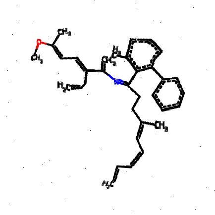 C=C/C=C\C=C(/C)CC/C(=N/C(=C)/C(C=C)=C/C=C(\C)OC)c1c(C)cccc1-c1ccccc1